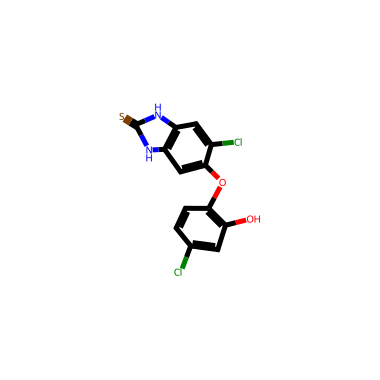 Oc1cc(Cl)ccc1Oc1cc2[nH]c(=S)[nH]c2cc1Cl